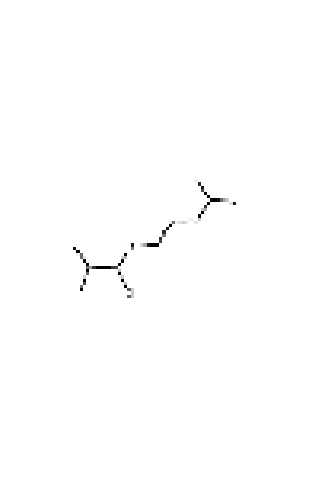 CC(C)CCCOC(Cl)C(C)C